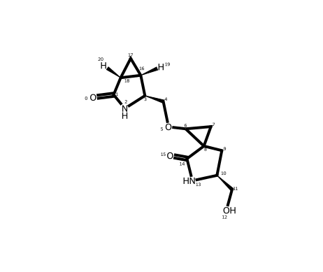 O=C1N[C@H](COC2CC23C[C@@H](CO)NC3=O)[C@H]2C[C@@H]12